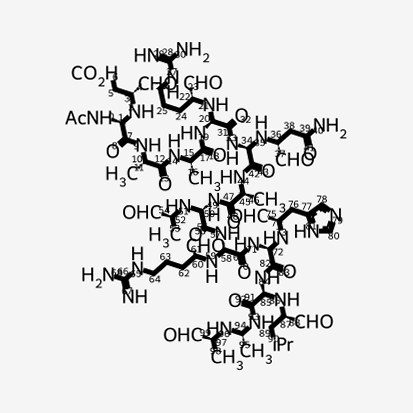 CC(=O)N[C@@H](N[C@@H](C=O)CC(=O)O)C(=O)N[C@@H](C)C(=O)N[C@@H](C)C(=O)N[C@@H](N[C@@H](C=O)CCCNC(=N)N)C(=O)N[C@@H](N[C@@H](C=O)CC(N)=O)C(=O)N[C@@H](C)C(=O)N[C@@H](N[C@@H](C)C=O)C(=O)N[C@@H](N[C@@H](C=O)CCCNC(=N)N)C(=O)N[C@@H](N[C@@H](C=O)Cc1cnc[nH]1)C(=O)N[C@@H](N[C@@H](C=O)CC(C)C)C(=O)N[C@H](C)N[C@@H](C)C=O